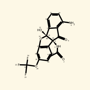 CC(=O)N[C@]12C(=O)c3c(N)cccc3[C@@]1(O)Oc1cc(OC(F)(F)F)ccc12